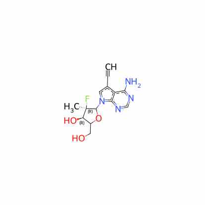 C#Cc1cn(C2OC(CO)[C@@H](O)[C@@]2(C)F)c2ncnc(N)c12